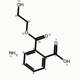 N.O=C(O)c1ccccc1C(=O)OCCO